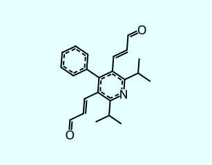 CC(C)c1nc(C(C)C)c(/C=C/C=O)c(-c2ccccc2)c1/C=C/C=O